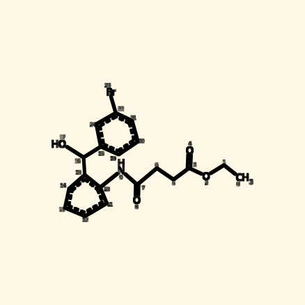 CCOC(=O)CCC(=O)Nc1ccccc1C(O)c1cccc(Br)c1